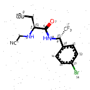 CC(C)(C)C[C@H](NCC#N)C(=O)N[C@@H](c1ccc(Br)cc1)C(F)(F)F